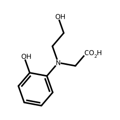 O=C(O)CN(CCO)c1ccccc1O